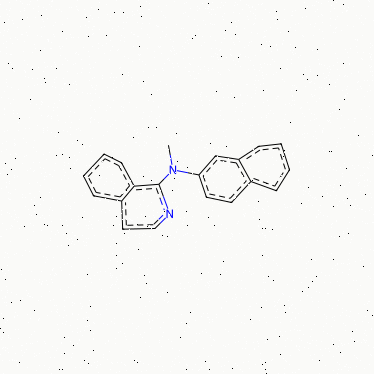 CN(c1ccc2ccccc2c1)c1nccc2ccccc12